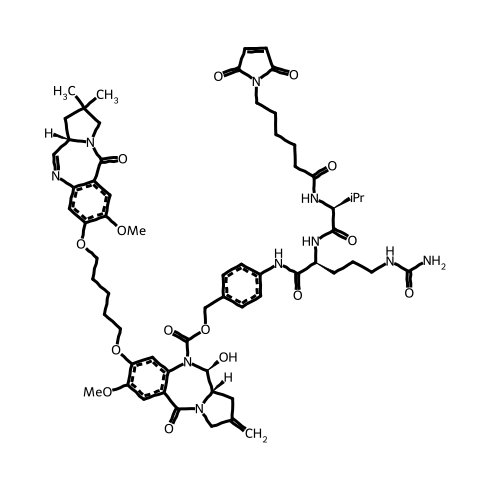 C=C1C[C@H]2[C@H](O)N(C(=O)OCc3ccc(NC(=O)[C@H](CCCNC(N)=O)NC(=O)[C@@H](NC(=O)CCCCCN4C(=O)C=CC4=O)C(C)C)cc3)c3cc(OCCCCCOc4cc5c(cc4OC)C(=O)N4CC(C)(C)C[C@H]4C=N5)c(OC)cc3C(=O)N2C1